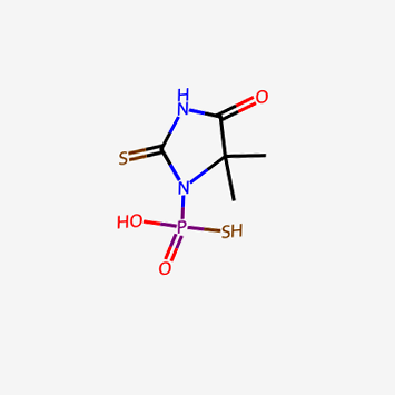 CC1(C)C(=O)NC(=S)N1P(=O)(O)S